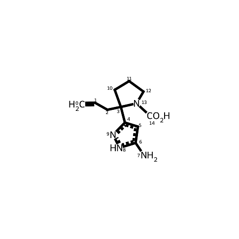 C=CCC1(c2cc(N)[nH]n2)CCCN1C(=O)O